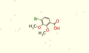 COc1c(Br)ccc(C(=O)O)c1OC